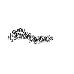 CC1(NC(=O)OC(C)(C)C)CCN(c2cnc(Sc3cccc(NC(=O)c4ccc(N5CCC(=O)CC5)cc4)c3)cn2)CC1